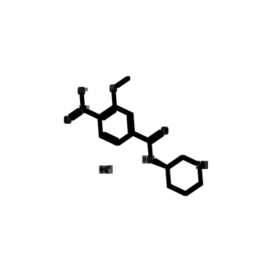 COc1cc(C(=O)N[C@@H]2CCCNC2)ccc1[N+](=O)[O-].Cl